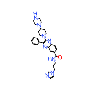 O=C(NCCCn1ccnc1)c1ccc2nc(N3CCC(N4CCNCC4)CC3)c(-c3ccccc3)nc2c1